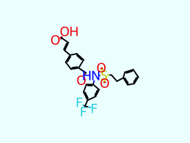 O=C(O)/C=C/c1ccc(COc2cc(C(F)(F)F)ccc2NS(=O)(=O)CCc2ccccc2)cc1